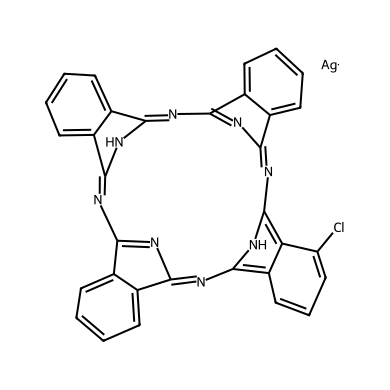 Clc1cccc2c3nc4nc(nc5[nH]c(nc6nc(nc([nH]3)c12)-c1ccccc1-6)c1ccccc51)-c1ccccc1-4.[Ag]